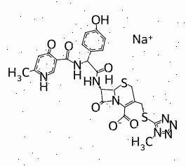 Cc1cc(=O)c(C(=O)NC(C(=O)N[C@@H]2C(=O)N3C(C(=O)[O-])=C(CSc4nnnn4C)CS[C@H]23)c2ccc(O)cc2)c[nH]1.[Na+]